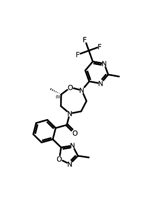 Cc1nc(N2CCN(C(=O)c3ccccc3-c3nc(C)no3)C[C@H](C)O2)cc(C(F)(F)F)n1